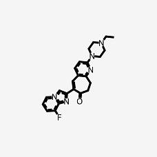 CCN1CCN(c2ccc3c(n2)CCC(=O)C(c2cn4cccc(F)c4n2)=C3)CC1